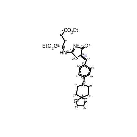 CCOC(=O)CC[C@H](NC1=NC(=O)/C(=C/c2ccc(N3CCC4(CC3)OCCO4)cc2)S1)C(=O)OCC